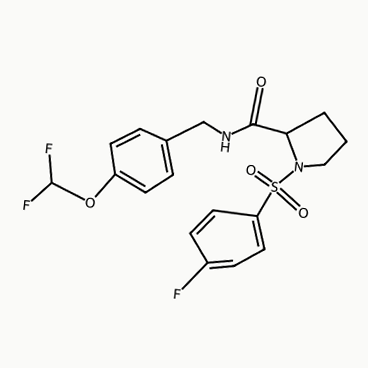 O=C(NCc1ccc(OC(F)F)cc1)C1CCCN1S(=O)(=O)c1ccc(F)cc1